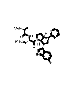 CN[C@@H](C)C(=O)N[C@@H](COC)C(=O)N1CC[C@@H]2[C@H]1[C@@H](c1c[nH]c3cc(F)ccc13)CN2c1ncccn1